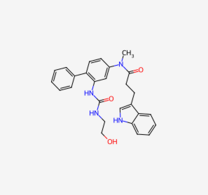 CN(C(=O)CCc1c[nH]c2ccccc12)c1ccc(-c2ccccc2)c(NC(=O)NCCO)c1